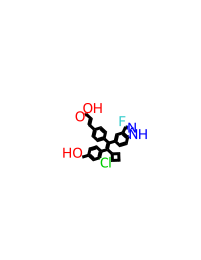 O=C(O)/C=C/c1ccc(/C(=C(\c2ccc(CO)cc2Cl)C2CCC2)c2ccc3[nH]nc(F)c3c2)cc1